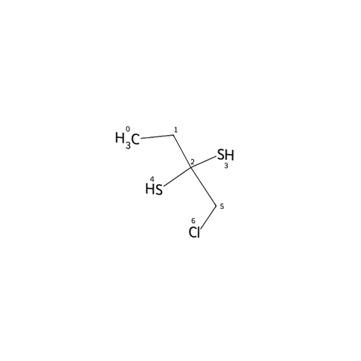 CCC(S)(S)CCl